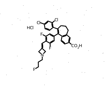 Cl.O=C(O)c1ccc2c(c1)CCCC(c1ccc(Cl)cc1Cl)=C2c1cc(F)c(C=C2CN(CCCF)C2)c(F)c1